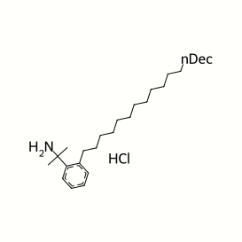 CCCCCCCCCCCCCCCCCCCCCCc1ccccc1C(C)(C)N.Cl